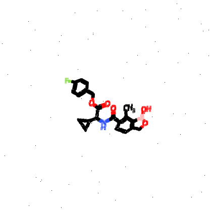 Cc1c(C(=O)NC(C(=O)OCc2ccc(F)cc2)C2CC2)ccc2c1B(O)OC2